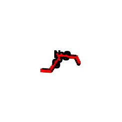 CCCCCCCC/C=C\CCCCCCCC(=O)OCCCCOc1cc(CN(C)C)cc(OCCCCOC(=O)CCCCCCC/C=C\CCCCCCCC)c1